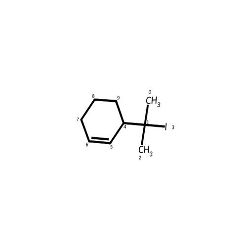 CC(C)(I)C1C=CCCC1